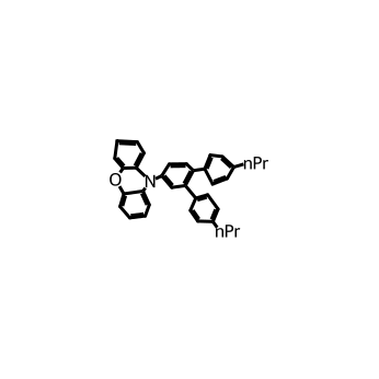 CCCc1ccc(-c2ccc(N3c4ccccc4Oc4ccccc43)cc2-c2ccc(CCC)cc2)cc1